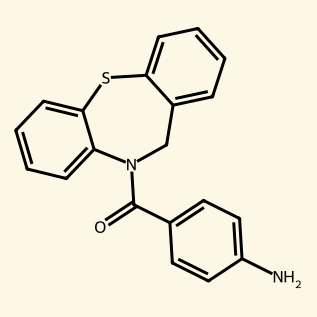 Nc1ccc(C(=O)N2Cc3ccccc3Sc3ccccc32)cc1